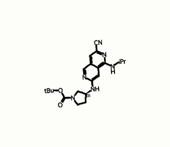 CC(C)Nc1nc(C#N)cc2cnc(N[C@H]3CCN(C(=O)OC(C)(C)C)C3)cc12